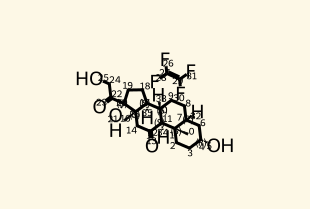 C[C@]12CC[C@@H](O)C[C@H]1CC[C@@H]1[C@@H]2C(=O)C[C@@]2(C)[C@H]1CC[C@]2(O)C(=O)CO.FC(F)=C(F)F